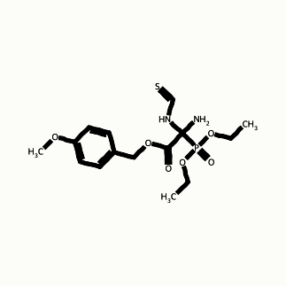 CCOP(=O)(OCC)C(N)(NC=S)C(=O)OCc1ccc(OC)cc1